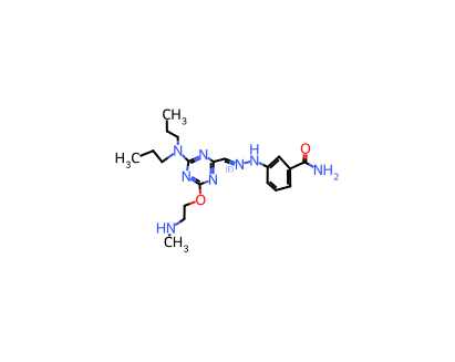 CCCN(CCC)c1nc(/C=N/Nc2cccc(C(N)=O)c2)nc(OCCNC)n1